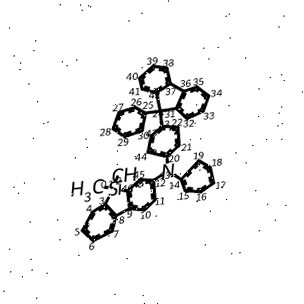 C[Si]1(C)c2ccccc2-c2ccc(N(c3ccccc3)c3ccc(C4(c5ccccc5)c5ccccc5-c5ccccc54)cc3)cc21